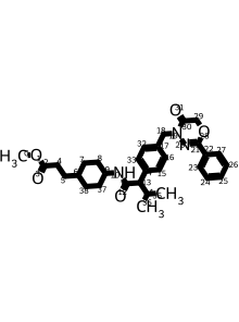 COC(=O)CCC1CCC(NC(=O)C(c2ccc(CN3N=C(c4ccccc4)OCC3=O)cc2)C(C)C)CC1